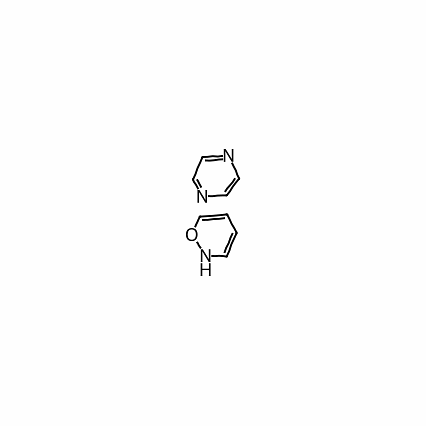 C1=CNOC=C1.c1cnccn1